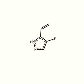 C=Cc1[nH]ncc1F